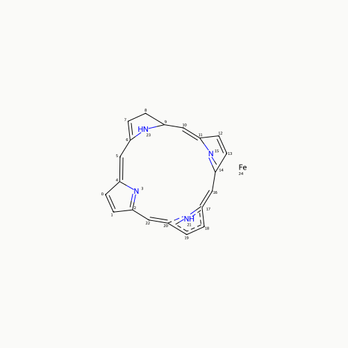 C1=CC2=NC1=CC1=CCC(C=C3C=CC(=N3)C=c3ccc([nH]3)=C2)N1.[Fe]